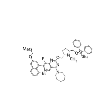 CCc1cccc2cc(OCOC)cc(-c3ncc4c(N5CCCCCC5)nc(OC[C@@H]5CC[C@@H](CO[Si](c6ccccc6)(c6ccccc6)C(C)(C)C)N5C)nc4c3F)c12